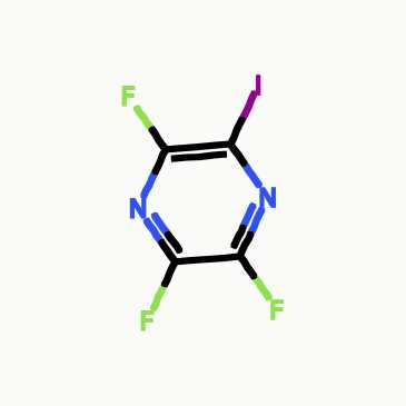 Fc1nc(F)c(I)nc1F